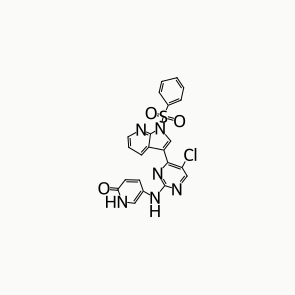 O=c1ccc(Nc2ncc(Cl)c(-c3cn(S(=O)(=O)c4ccccc4)c4ncccc34)n2)c[nH]1